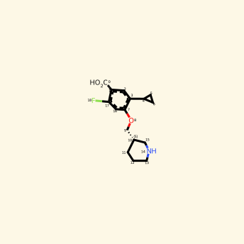 O=C(O)c1cc(C2CC2)c(OC[C@H]2CCCNC2)cc1F